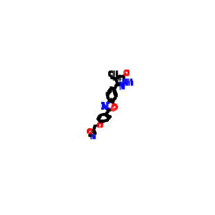 CCC1CC(=O)NN=C1c1ccc2nc(-c3ccc(OCc4cnco4)cc3)oc2c1